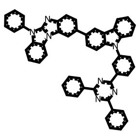 c1ccc(-c2nc(-c3ccccc3)nc(-c3cccc(-n4c5ccccc5c5cc(-c6ccc7nc8n(-c9ccccc9)c9ccccc9n8c7c6)ccc54)c3)n2)cc1